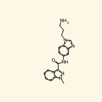 Cn1nc(C(=O)Nc2ccc3c(c2)ncn3CCCN)c2ccccc21